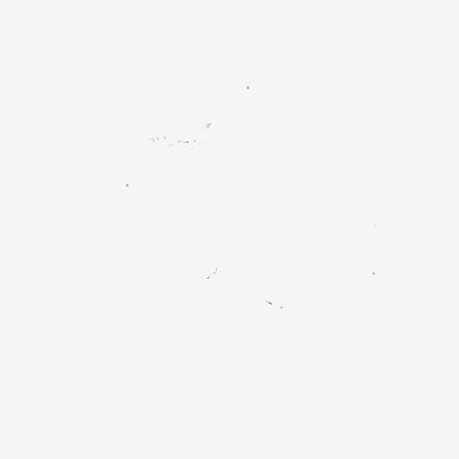 O=C(O[C@H]1[C@@H]2OC(=O)c3cc(O)c(O)c(O)c3-c3c(O)c(O)c4oc(=O)c5c(c(O)c(O)c6oc(=O)c3c4c65)-c3c(cc(O)c(O)c3O)C(=O)OC[C@H]2OC(O)[C@@H]1O)c1cc(O)c(O)c(O)c1